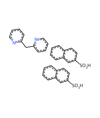 O=S(=O)(O)c1ccc2ccccc2c1.O=S(=O)(O)c1ccc2ccccc2c1.c1ccc(Cc2ccccn2)nc1